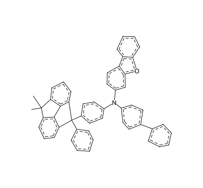 CC1(C)c2cccc3c2-c2c1cccc2C3(c1ccccc1)c1ccc(N(c2ccc(-c3ccccc3)cc2)c2ccc3c(c2)oc2ccccc23)cc1